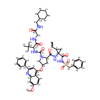 C=CC1CC1(NC(=O)C1CC(Oc2cc(-c3ccccc3)nc3cc(OC)ccc23)CN1C(=O)NC(C(=O)NCC(=O)NCC1CCCCC1)C(C)(C)C)C(=O)NS(=O)(=O)Cc1ccccc1